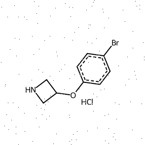 Brc1ccc(OC2CNC2)cc1.Cl